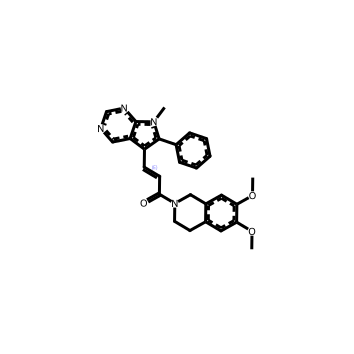 COc1cc2c(cc1OC)CN(C(=O)/C=C/c1c(-c3ccccc3)n(C)c3ncncc13)CC2